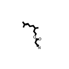 CC(C)=CCCC(C)CCOC(=O)CC#N